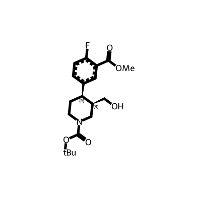 COC(=O)c1cc([C@@H]2CCN(C(=O)OC(C)(C)C)C[C@@H]2CO)ccc1F